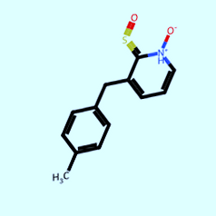 Cc1ccc(CC2=CC=C[NH+]([O-])C2=S=O)cc1